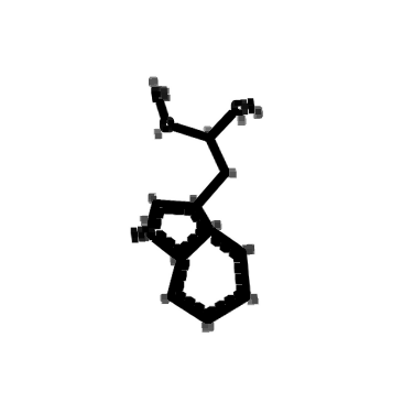 CCOC(C)Cc1c[nH]c2ccccc12